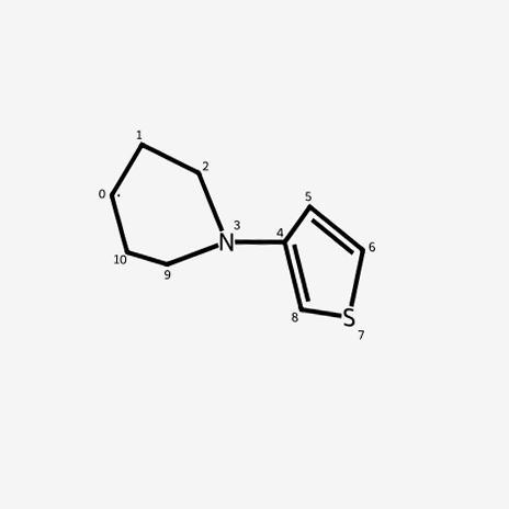 [CH]1CCN(c2ccsc2)CC1